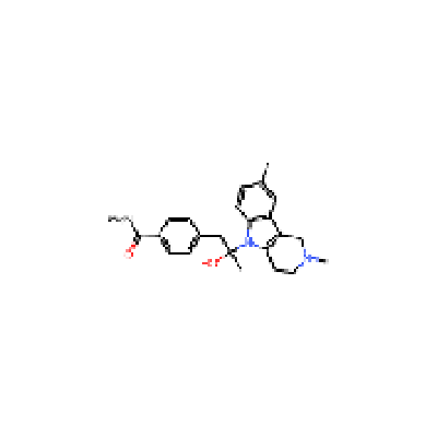 CNC(=O)c1ccc(CC(C)(O)n2c3c(c4cc(C)ccc42)CN(C)CC3)cc1